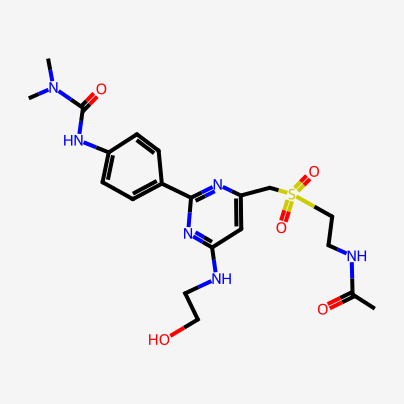 CC(=O)NCCS(=O)(=O)Cc1cc(NCCO)nc(-c2ccc(NC(=O)N(C)C)cc2)n1